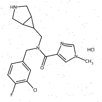 Cl.Cn1cnc(C(=O)N(Cc2ccc(F)c(Cl)c2)CC2C3CNCC32)c1